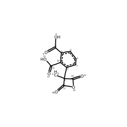 CC1(c2cccc(C(=O)O)c2C(=O)O)C(=O)OC1=O